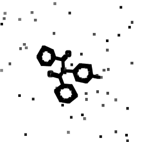 [CH2]c1ccc(N(C(=O)c2ccccc2)C(=O)c2ccccc2)cc1